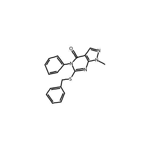 Cn1ncc2c(=O)n(-c3ccccc3)c(SCc3ccccc3)nc21